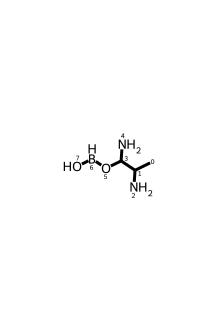 CC(N)C(N)OBO